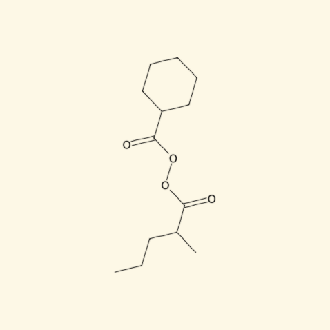 CCCC(C)C(=O)OOC(=O)C1CCCCC1